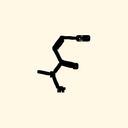 CC(C)N(C)C(=O)/C=C\C=O